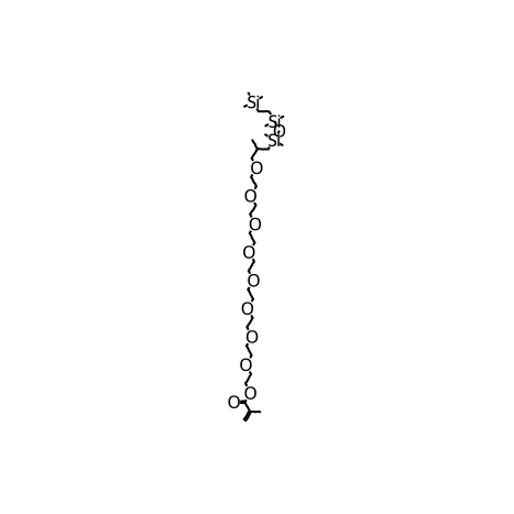 C=C(C)C(=O)OCCOCCOCCOCCOCCOCCOCCOCCOCC(C)C[Si](C)(C)O[Si](C)(C)CC[Si](C)(C)C